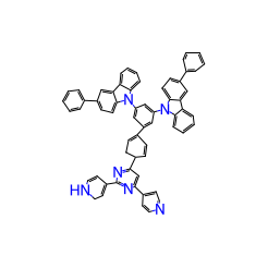 C1=CC(c2nc(-c3ccncc3)cc(C3C=CC(c4cc(-n5c6ccccc6c6cc(-c7ccccc7)ccc65)cc(-n5c6ccccc6c6cc(-c7ccccc7)ccc65)c4)=CC3)n2)=CCN1